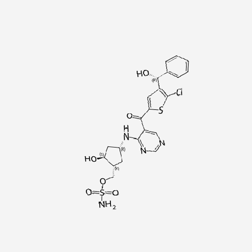 NS(=O)(=O)OC[C@H]1C[C@@H](Nc2ncncc2C(=O)c2cc([C@H](O)c3ccccc3)c(Cl)s2)C[C@@H]1O